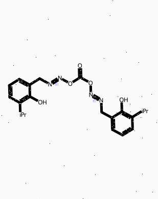 CC(C)c1cccc(C/N=N/OC(=O)O/N=N/Cc2cccc(C(C)C)c2O)c1O